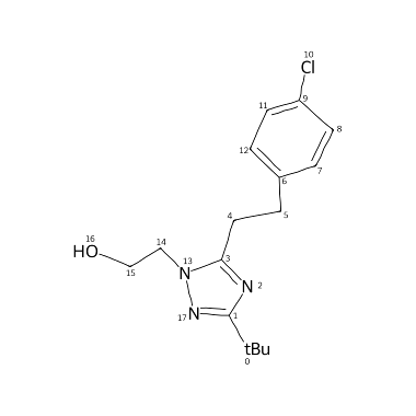 CC(C)(C)c1nc(CCc2ccc(Cl)cc2)n(CCO)n1